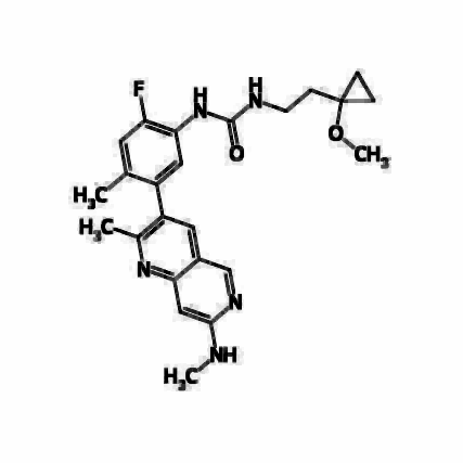 CNc1cc2nc(C)c(-c3cc(NC(=O)NCCC4(OC)CC4)c(F)cc3C)cc2cn1